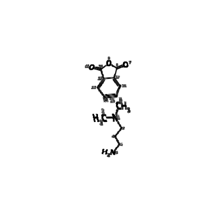 CN(C)CCCN.O=C1OC(=O)c2ccccc21